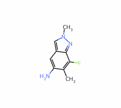 Cc1c(N)cc2cn(C)nc2c1F